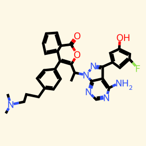 CC(c1oc(=O)c2ccccc2c1-c1ccc(CCCN(C)C)cc1)n1nc(-c2cc(O)cc(F)c2)c2c(N)ncnc21